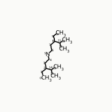 CCC(CC[N]CCC(CC)C(C)C)C(C)C